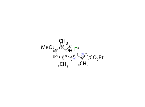 CCOC(=O)/C=C(C)/C(F)=C/c1c(C)cc(OC)c(C)c1C